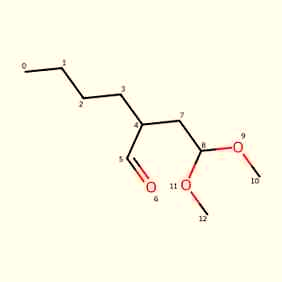 CCCCC(C=O)CC(OC)OC